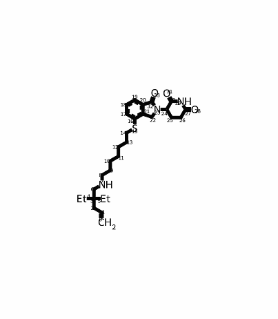 C=CCC(CC)(CC)CNCCCCCCCSc1cccc2c1CN(C1CCC(=O)NC1=O)C2=O